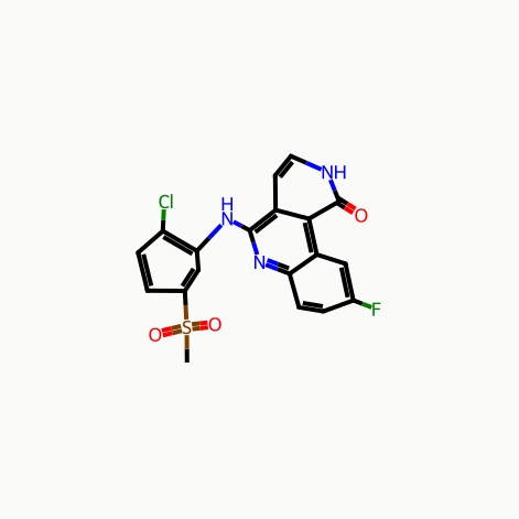 CS(=O)(=O)c1ccc(Cl)c(Nc2nc3ccc(F)cc3c3c(=O)[nH]ccc23)c1